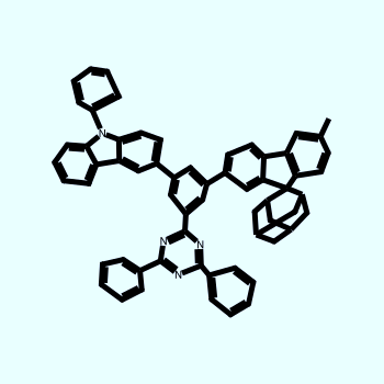 Cc1ccc2c(c1)-c1ccc(-c3cc(-c4ccc5c(c4)c4ccccc4n5-c4ccccc4)cc(-c4nc(-c5ccccc5)nc(-c5ccccc5)n4)c3)cc1C21C2CC3CC(C2)CC1C3